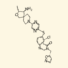 N[C@@H]1[C@H](I)OCC12CCN(c1cnc(Sc3ccc4ncn(Cc5ccno5)c(=O)c4c3Cl)cn1)CC2